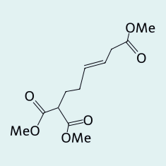 COC(=O)C/C=C/CCC(C(=O)OC)C(=O)OC